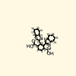 O=C(O)c1ccc(C(=O)O)c(-c2nc3ccccc3s2)c1-c1nc2ccccc2s1